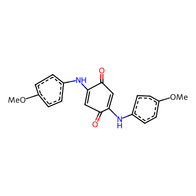 COc1ccc(NC2=CC(=O)C(Nc3ccc(OC)cc3)=CC2=O)cc1